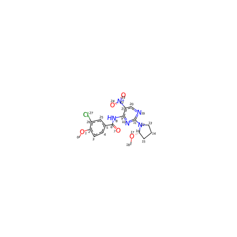 COc1ccc(C(=O)Nc2nc(N3CCC[C@@H]3OC)ncc2[N+](=O)[O-])cc1Cl